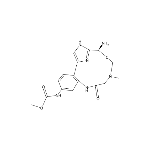 COC(=O)Nc1ccc2c(c1)NC(=O)CN(C)CC[C@H](N)c1nc-2c[nH]1